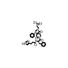 CCN(CC)CCN1CN(c2ccccc2)C2(CCN(C(=O)[C@@H](Cc3ccccc3)NC(=O)CCc3c[nH]cn3)CC2)C1=O